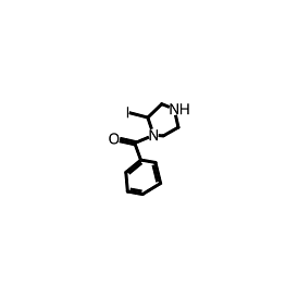 O=C(c1ccccc1)N1CCNCC1I